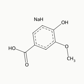 COc1cc(C(=O)O)ccc1O.[NaH]